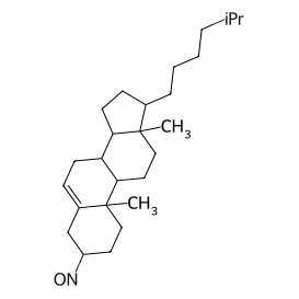 CC(C)CCCCC1CCC2C3CC=C4CC(N=O)CCC4(C)C3CCC12C